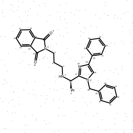 CC(C)[C@@H](NCCCN1C(=O)c2ccccc2C1=O)c1nc(-c2ccccc2)cn1Cc1ccccc1